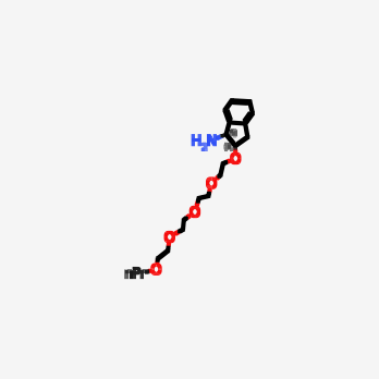 CCCOCCOCCOCCOCCO[C@@H]1Cc2ccccc2[C@@H]1N